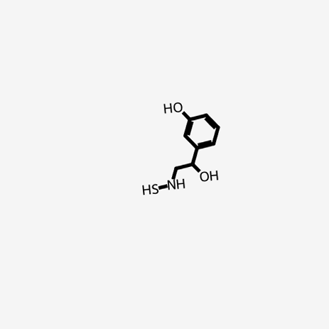 Oc1cccc(C(O)CNS)c1